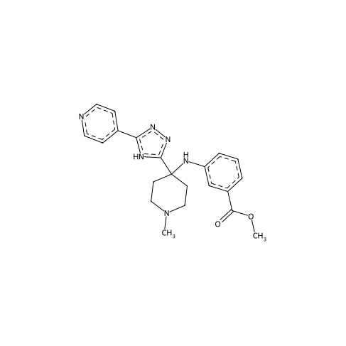 COC(=O)c1cccc(NC2(c3nnc(-c4ccncc4)[nH]3)CCN(C)CC2)c1